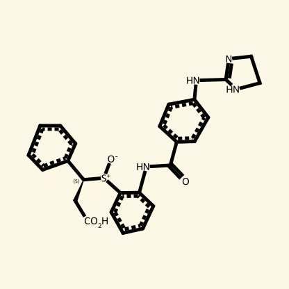 O=C(O)C[C@@H](c1ccccc1)[S+]([O-])c1ccccc1NC(=O)c1ccc(NC2=NCCN2)cc1